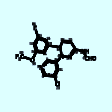 O=CNC1=NN(c2cncc(Cl)c2)C(c2cc(F)cc(OC(F)(F)F)c2)C=C1